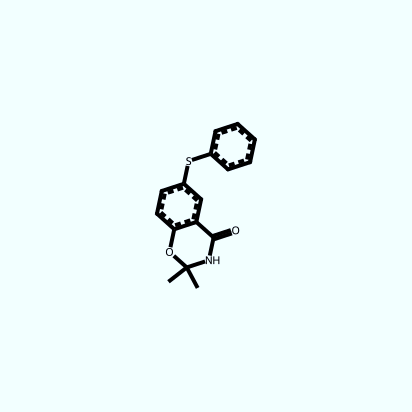 CC1(C)NC(=O)c2cc(Sc3ccccc3)ccc2O1